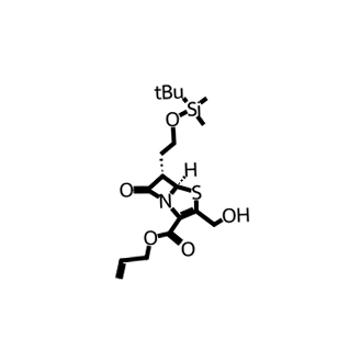 C=CCOC(=O)C1=C(CO)S[C@@H]2[C@@H](CCO[Si](C)(C)C(C)(C)C)C(=O)N12